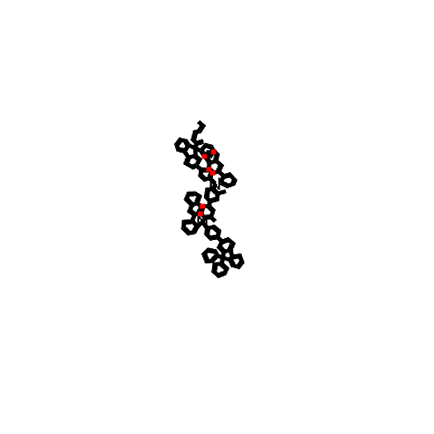 C=C(/C=C\C=C/C)C1(c2ccccc2)c2ccccc2-c2ccc(-c3ccc(N(c4ccc(-c5ccc(N(c6ccc(-c7ccc8c(c7)C(c7ccccc7)(c7ccccc7)c7ccccc7-8)cc6)c6ccccc6-c6ccc7ccccc7c6)c(C)c5)cc4C)c4ccccc4-c4ccc5ccccc5c4)cc3)cc21